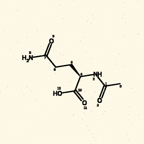 CC(=O)N[C@H](CCC(N)=O)C(=O)O